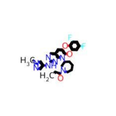 C=CC(=O)N1CCCCC(n2c(=O)c(Oc3ccc(F)cc3F)cc3cnc(Nc4cnn(C)c4)nc32)C1